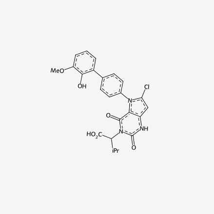 COc1cccc(-c2ccc(-n3c(Cl)cc4[nH]c(=O)n(C(C(=O)O)C(C)C)c(=O)c43)cc2)c1O